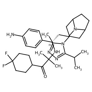 Cc1nnc(C(C)C)n1C1CC2CCC(C1)N2CC[C@H](NC(C)(C)C(=O)C1CCC(F)(F)CC1)c1ccc(N)cc1